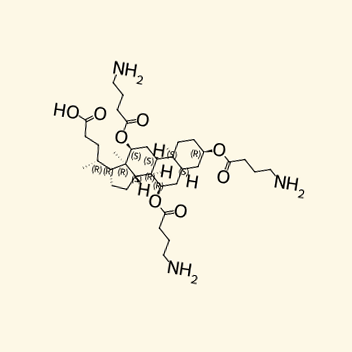 C[C@H](CCC(=O)O)[C@H]1CC[C@H]2[C@@H]3[C@H](OC(=O)CCCN)C[C@@H]4C[C@H](OC(=O)CCCN)CC[C@]4(C)[C@H]3C[C@H](OC(=O)CCCN)[C@]12C